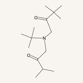 CC(C)C(=O)CN(CC(=O)C(C)(C)C)C(C)(C)C